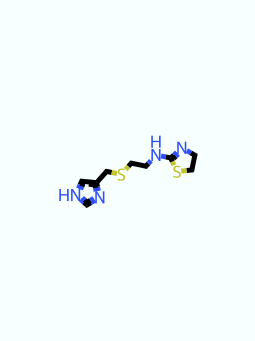 c1nc(CSCCNC2=NCCS2)c[nH]1